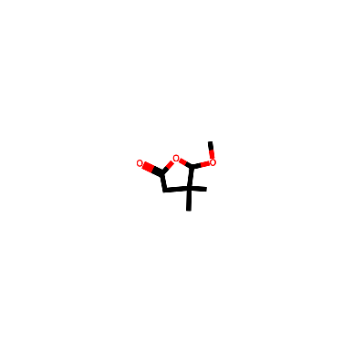 COC1OC(=O)CC1(C)C